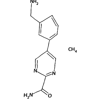 C.NCc1cccc(-c2cnc(C(N)=O)nc2)c1